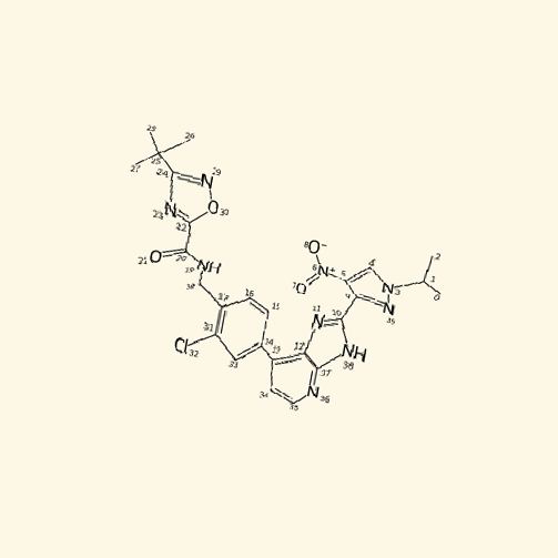 CC(C)n1cc([N+](=O)[O-])c(-c2nc3c(-c4ccc(CNC(=O)c5nc(C(C)(C)C)no5)c(Cl)c4)ccnc3[nH]2)n1